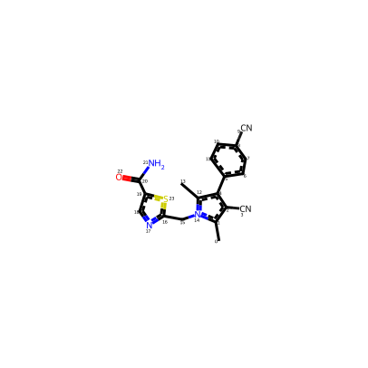 Cc1c(C#N)c(-c2ccc(C#N)cc2)c(C)n1Cc1ncc(C(N)=O)s1